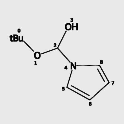 CC(C)(C)OC(O)n1cccc1